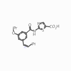 CC(C)/C=C\c1cc(OC(C)C)cc(C(=O)Nc2ncc(C(=O)O)s2)c1